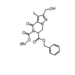 CC(C)(C)OC(=O)N1C(=O)c2c(I)c(CO)nn2CC1C(=O)OCc1ccccc1